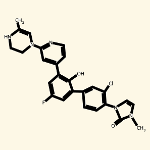 CC1=CN(c2cc(-c3cc(F)cc(-c4ccc(-n5ccn(C)c5=O)c(Cl)c4)c3O)ccn2)CCN1